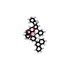 c1ccc(-c2ccc(-c3cc4ccccc4c4ccccc34)cc2N(c2ccccc2-c2ccc3c(c2)oc2ccccc23)c2cccc3sc4ccccc4c23)cc1